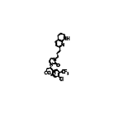 O=C(O)CC(c1ccc(Cl)c(C(F)(F)F)c1)N1CCN(CCCc2ccc3c(n2)NCCC3)C1=O